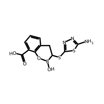 Nc1nnc(SC2Cc3cccc(C(=O)O)c3OB2O)s1